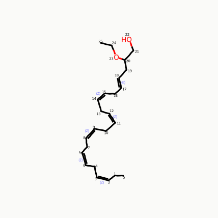 CC/C=C\C/C=C\C/C=C\C/C=C\C/C=C\C/C=C/CC(CO)OCC